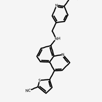 CC(C)Oc1ccc(CNc2cccc3c(-c4ccc(C#N)s4)ccnc23)cn1